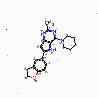 Cc1nc(N2CCCCC2)c2[nH]c(-c3ccc4c(c3)CCO4)cc2n1